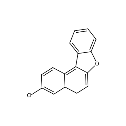 ClC1=CC2CC=c3oc4ccccc4c3=C2C=C1